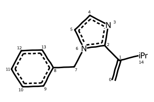 C=C(c1nccn1Cc1ccccc1)C(C)C